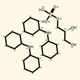 C1CCC(NC2CCCCC2)CC1.C1CCC(NC2CCCCC2)CC1.O=P(O)(O)OC[C@H](O)CO